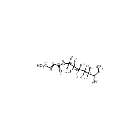 CC(C)C(CC(F)(F)F)C(F)(F)C(F)(F)C(F)(F)C(F)(F)C(F)(F)OC(=O)C=CC(=O)O